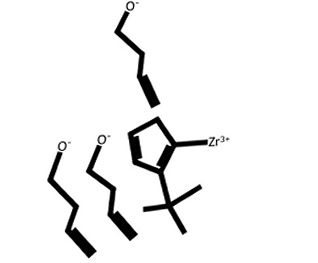 C=CCC[O-].C=CCC[O-].C=CCC[O-].CC(C)(C)C1=[C]([Zr+3])CC=C1